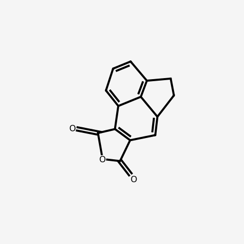 O=C1OC(=O)c2c1cc1c3c(cccc23)CC1